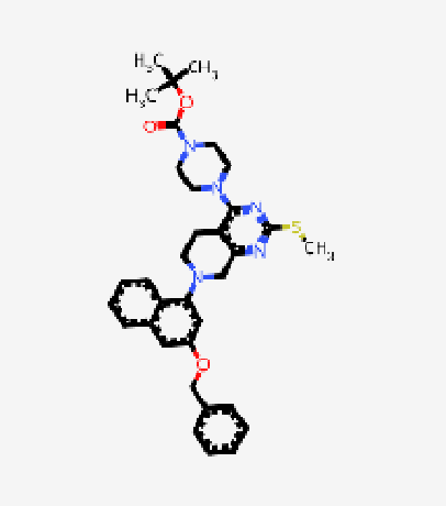 CSc1nc2c(c(N3CCN(C(=O)OC(C)(C)C)CC3)n1)CCN(c1cc(OCc3ccccc3)cc3ccccc13)C2